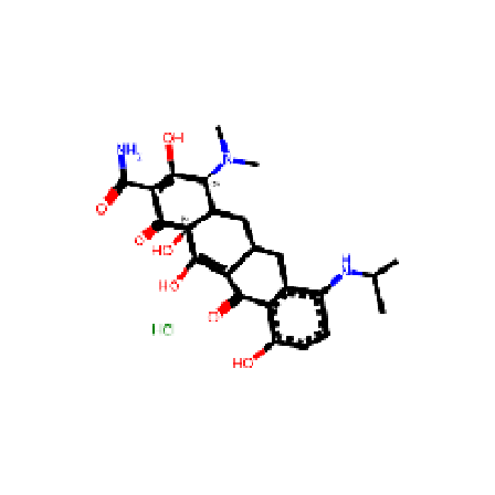 CC(C)Nc1ccc(O)c2c1CC1CC3[C@H](N(C)C)C(O)=C(C(N)=O)C(=O)[C@@]3(O)C(O)=C1C2=O.Cl